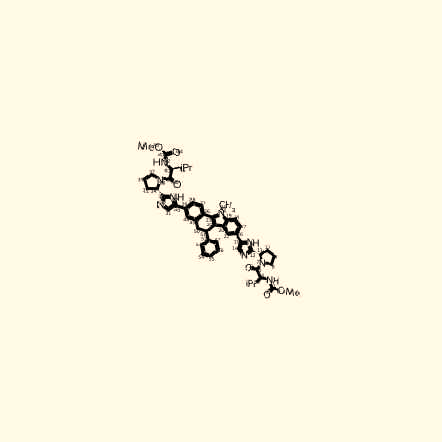 COC(=O)NC(C(=O)N1CCC[C@H]1c1ncc(-c2ccc3c(c2)c2c(n3C)-c3ccc(-c4cnc([C@@H]5CCCN5C(=O)[C@@H](NC(=O)OC)C(C)C)[nH]4)cc3CC2c2ccccc2)[nH]1)C(C)C